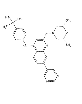 C[C@@H]1CN(Cc2nc(Nc3ccc(C(C)(C)C)cc3)c3ccc(-c4cncnc4)cc3n2)C[C@H](C)O1